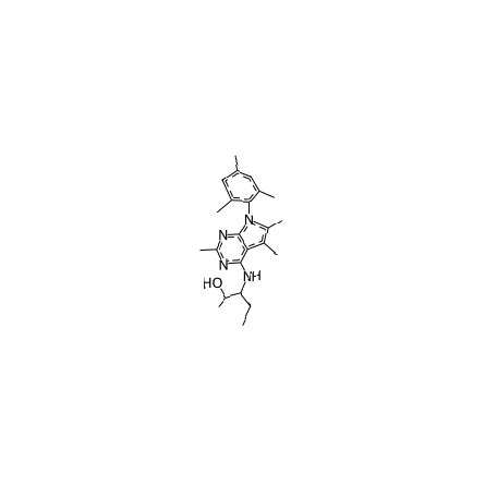 CCC(Nc1nc(C)nc2c1c(C)c(C)n2-c1c(C)cc(C)cc1C)C(C)O